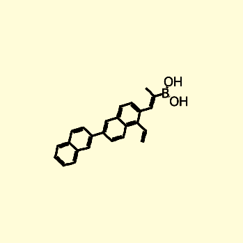 C=Cc1c(/C=C(\C)B(O)O)ccc2cc(-c3ccc4ccccc4c3)ccc12